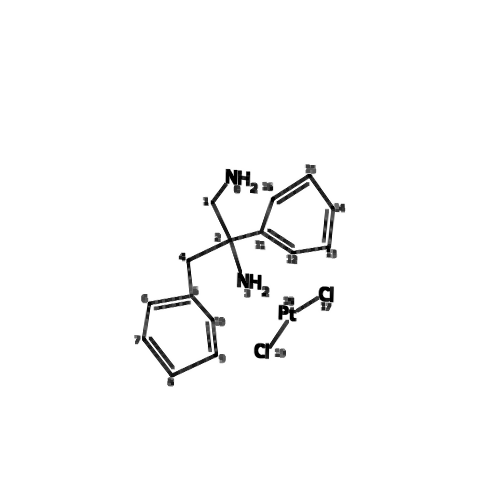 NCC(N)(Cc1ccccc1)c1ccccc1.[Cl][Pt][Cl]